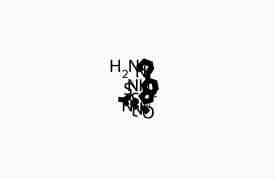 Cc1nc(N(C)C(=O)[C@H]2Cc3ccc(-c4cccc(N)n4)cc3C2)sc1SN